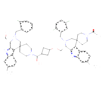 CCC(=O)N1CCC2(CC1)CN(Cc1cc(F)ccc1F)[C@H](COC1CC(C(O)N3CCC4(CC3)CN(Cc3ccccc3F)[C@H](CO)c3[nH]c5cc(OC)ccc5c34)C1)c1[nH]c3cc(OC)ccc3c12